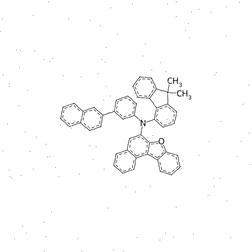 CC1(C)c2ccccc2-c2c(N(c3cccc(-c4ccc5ccccc5c4)c3)c3cc4ccccc4c4c3oc3ccccc34)cccc21